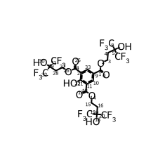 O=C(OCCC(O)(C(F)(F)F)C(F)(F)F)c1cc(C(=O)OCCC(O)(C(F)(F)F)C(F)(F)F)c(O)c(C(=O)OCCC(O)(C(F)(F)F)C(F)(F)F)c1